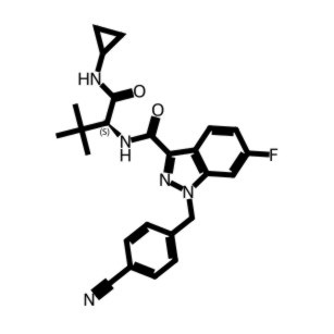 CC(C)(C)[C@H](NC(=O)c1nn(Cc2ccc(C#N)cc2)c2cc(F)ccc12)C(=O)NC1CC1